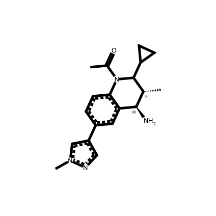 CC(=O)N1c2ccc(-c3cnn(C)c3)cc2[C@H](N)[C@@H](C)C1C1CC1